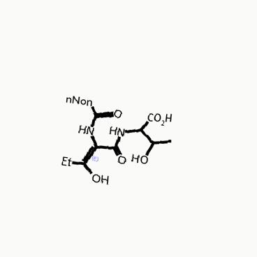 CCCCCCCCCC(=O)N/C(C(=O)NC(C(=O)O)C(C)O)=C(/O)CC